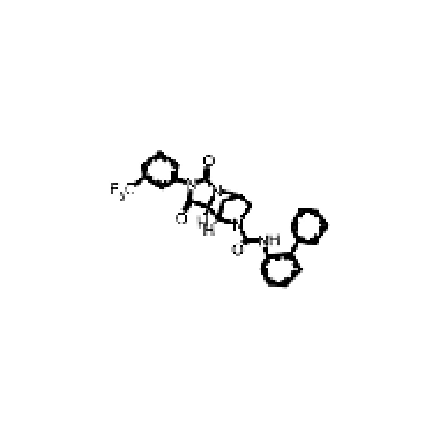 O=C1[C@H]2[C@H]3CC(CN3C(=O)Nc3ccccc3-c3ccccc3)N2C(=O)N1c1cccc(C(F)(F)F)c1